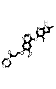 COc1cc2c(Oc3cnc4[nH]c(C)cc4c3F)ncnc2cc1OCCC(=O)N1CCOCC1